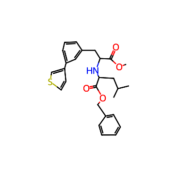 COC(=O)C(Cc1cccc(-c2ccsc2)c1)NC(CC(C)C)C(=O)OCc1ccccc1